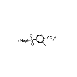 CCCCCCCS(=O)(=O)c1ccc(C(=O)O)c(C)c1